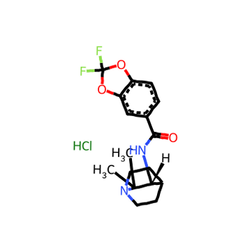 CC1(C)[C@H](NC(=O)c2ccc3c(c2)OC(F)(F)O3)C2CCN1CC2.Cl